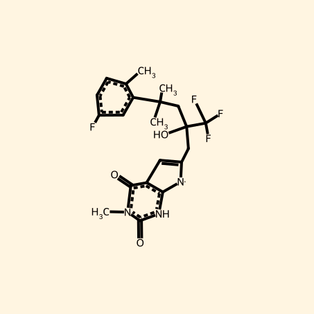 Cc1ccc(F)cc1C(C)(C)CC(O)(CC1=Cc2c([nH]c(=O)n(C)c2=O)[N]1)C(F)(F)F